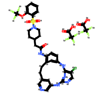 O=C(CC1CCN(S(=O)(=O)c2ccccc2OC(F)(F)F)CC1)Nc1ccc2cc1CCc1cncc(c1)Nc1ncc(Cl)c(n1)N2.O=C(O)C(F)(F)F.O=C(O)C(F)(F)F